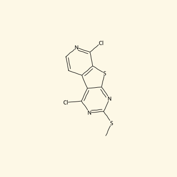 CSc1nc(Cl)c2c(n1)sc1c(Cl)nccc12